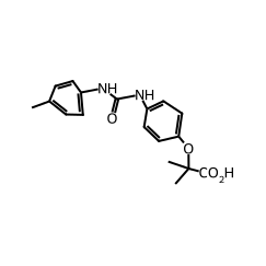 Cc1ccc(NC(=O)Nc2ccc(OC(C)(C)C(=O)O)cc2)cc1